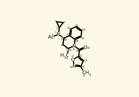 CC(=O)N(C1CC1)[C@@H]1C[C@H](C)N(C(=O)c2cc(C)no2)c2ccccc21